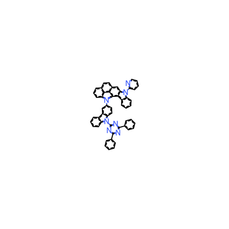 c1ccc(-c2nc(-c3ccccc3)nc(-n3c4ccccc4c4cc(-n5c6cccc7ccc8cc9c(c%10ccccc%10n9-c9ccccn9)c5c8c76)ccc43)n2)cc1